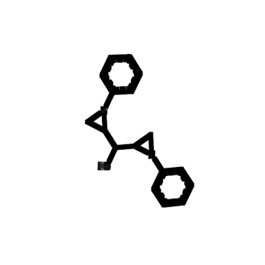 OC(C1CN1c1ccccc1)C1CN1c1ccccc1